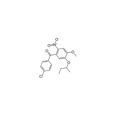 CCC(C)Oc1cc(C(=O)c2ccc(Cl)cc2)c([N+](=O)[O-])cc1OC